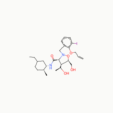 C=CCOc1c(I)cccc1CN1O[C@@H](CO)[C@@H]([C@H](C)O)[C@H]1C(=O)N[C@H]1CC(CC)CC[C@@H]1C